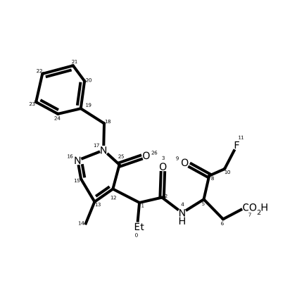 CCC(C(=O)NC(CC(=O)O)C(=O)CF)c1c(C)cnn(Cc2ccccc2)c1=O